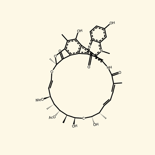 CO[C@H]1/C=C/O[C@@]2(C)Oc3c(C)c(O)c4c(=O)c(c5n(C)c6cc(O)ccc6nc-5c4c3C2=O)NC(=O)/C(C)=C\C=C\[C@H](C)[C@H](O)C[C@@H](O)[C@@H](C)[C@H](OC(C)=O)[C@@H]1C